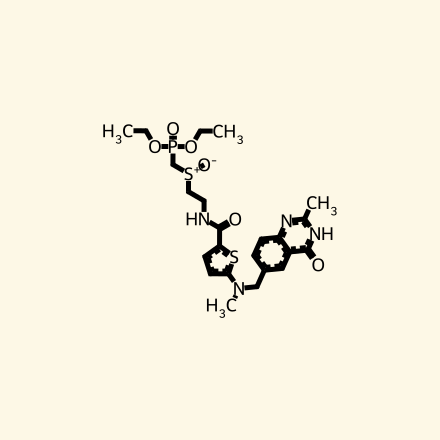 CCOP(=O)(C[S+]([O-])CCNC(=O)c1ccc(N(C)Cc2ccc3nc(C)[nH]c(=O)c3c2)s1)OCC